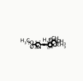 CCOC(=O)c1ccc(C#Cc2ccc3c(c2)C(C)(C)CC(C)(C)O3)nc1